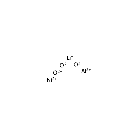 [Al+3].[Li+].[Ni+2].[O-2].[O-2].[O-2]